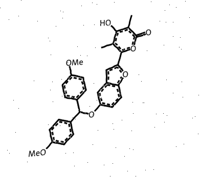 COc1ccc(C(Oc2ccc3oc(-c4oc(=O)c(C)c(O)c4C)cc3c2)c2ccc(OC)cc2)cc1